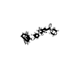 CN1[C@@H]2CC[C@H]1C[C@@H](Oc1ccc(-n3cnc4cc(C(=O)N5CCOCC5)sc4c3=O)cc1)C2